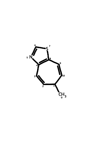 CC1C=Cc2ncsc2C=C1